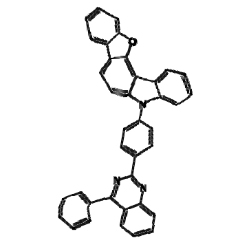 c1ccc(-c2nc(-c3ccc(-n4c5ccccc5c5c6oc7ccccc7c6ccc54)cc3)nc3ccccc23)cc1